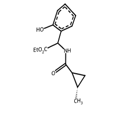 CCOC(=O)C(NC(=O)C1C[C@@H]1C)c1ccccc1O